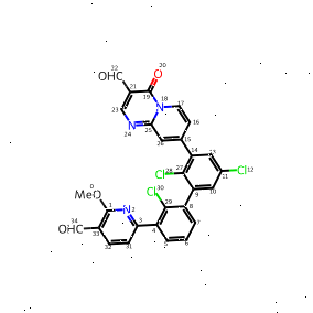 COc1nc(-c2cccc(-c3cc(Cl)cc(-c4ccn5c(=O)c(C=O)cnc5c4)c3Cl)c2Cl)ccc1C=O